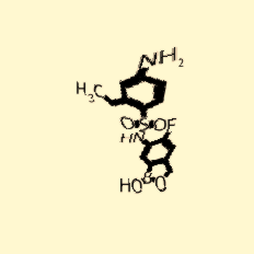 CCc1cc(N)ccc1S(=O)(=O)Nc1cc2c(cc1F)COB2O